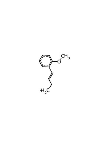 [CH2]CC=Cc1ccccc1OC